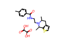 Cc1ccc(C(=O)NCCN2C(C)Cc3ccsc3C2C)cc1.O=C(O)C(=O)O